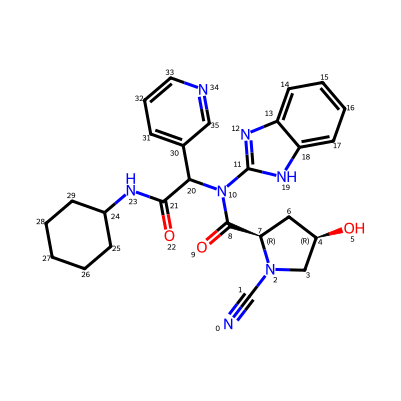 N#CN1C[C@H](O)C[C@@H]1C(=O)N(c1nc2ccccc2[nH]1)C(C(=O)NC1CCCCC1)c1cccnc1